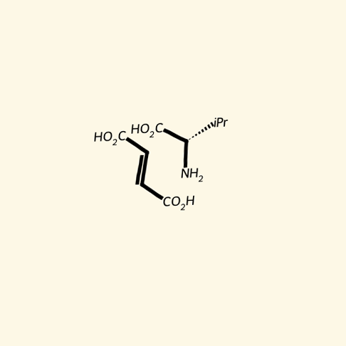 CC(C)[C@H](N)C(=O)O.O=C(O)/C=C/C(=O)O